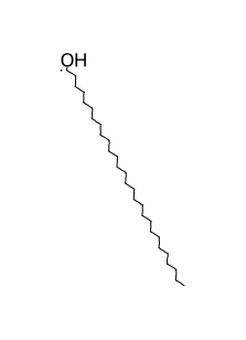 CCCCCCCCCCCCCCCCCCCCCCCCCCC[CH]O